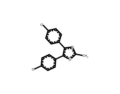 Cc1nc(-c2ccc(Cl)cc2)c(-c2ccc(Cl)cc2)o1